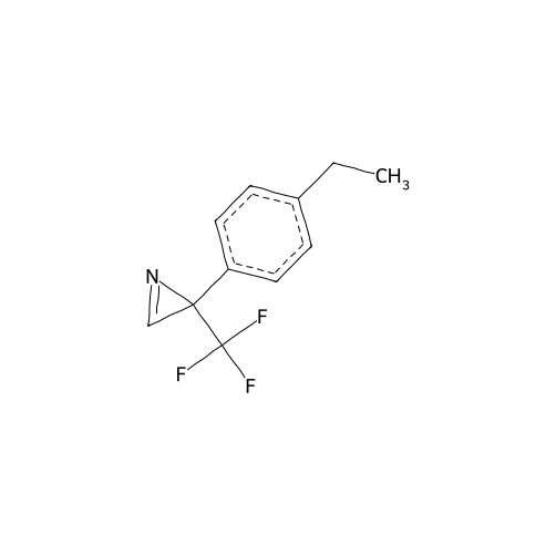 CCc1ccc(C2(C(F)(F)F)C=N2)cc1